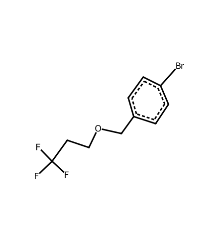 FC(F)(F)CCOCc1ccc(Br)cc1